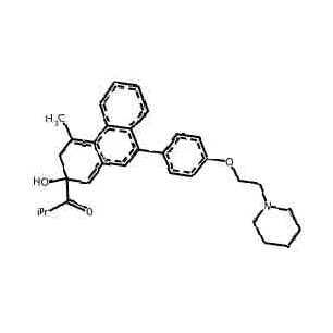 CC1=c2c(cc(-c3ccc(OCCN4CCCCC4)cc3)c3ccccc23)=CC(O)(C(=O)C(C)C)C1